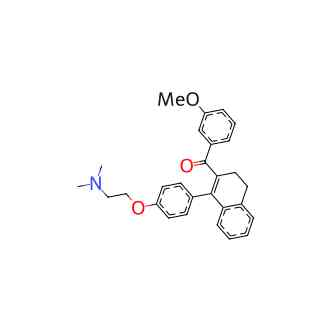 COc1cccc(C(=O)C2=C(c3ccc(OCCN(C)C)cc3)c3ccccc3CC2)c1